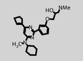 CNCC(O)COc1cccc(-c2nc(C3=CCCC3)cc(N(C)C3CCCCC3)n2)c1